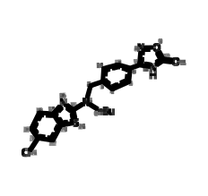 CCCCN(Cc1ccc(-c2noc(=O)[nH]2)cc1)c1nc2ccc(Cl)cc2s1